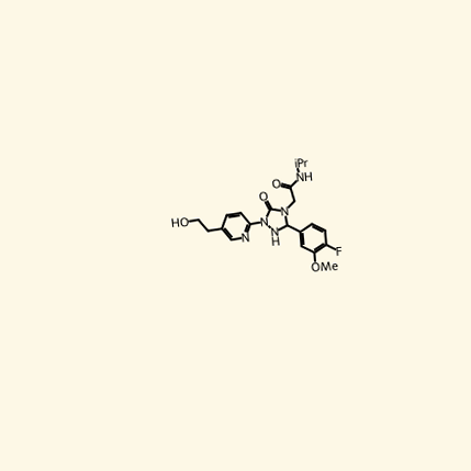 COc1cc(C2NN(c3ccc(CCO)cn3)C(=O)N2CC(=O)NC(C)C)ccc1F